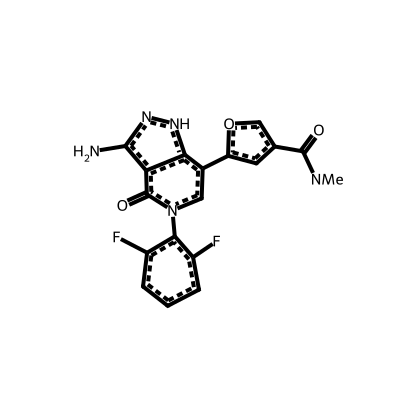 CNC(=O)c1coc(-c2cn(-c3c(F)cccc3F)c(=O)c3c(N)n[nH]c23)c1